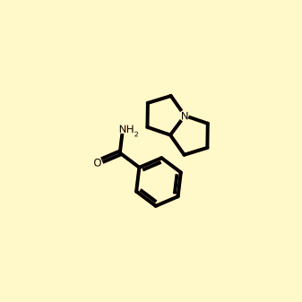 C1CC2CCCN2C1.NC(=O)c1ccccc1